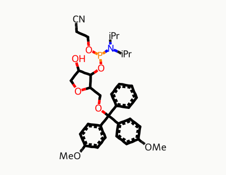 COc1ccc(C(OCC2OCC(O)C2OP(OCCC#N)N(C(C)C)C(C)C)(c2ccccc2)c2ccc(OC)cc2)cc1